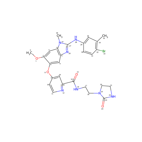 COc1cc2c(cc1Oc1ccnc(C(=O)NCCN3CCNC3=O)c1)nc(Nc1ccc(Br)c(C)c1)n2C